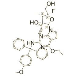 C#C[C@]1(O)[C@H](n2ccc3c(OCC)nc(NC(c4ccccc4)(c4ccccc4)c4ccc(OC)cc4)nc32)O[C@](F)(CO)[C@H]1C